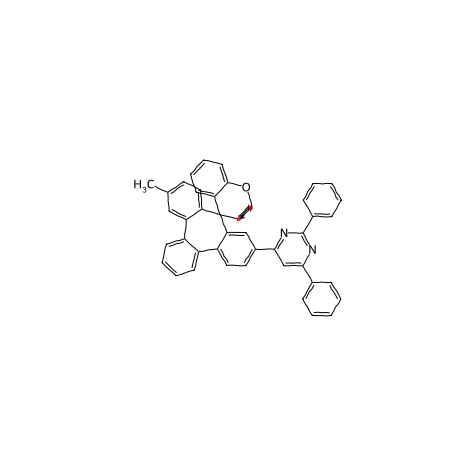 Cc1ccc2c(c1)-c1ccccc1-c1ccc(-c3cc(-c4ccccc4)nc(-c4ccccc4)n3)cc1C21c2ccccc2Oc2ccccc21